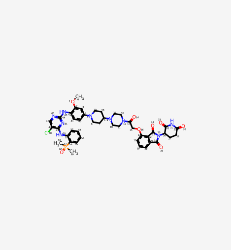 COc1cc(N2CCC(N3CCN(C(=O)COc4cccc5c4C(=O)N(C4CCC(=O)NC4=O)C5=O)CC3)CC2)ccc1Nc1ncc(Cl)c(Nc2ccccc2P(C)(C)=O)n1